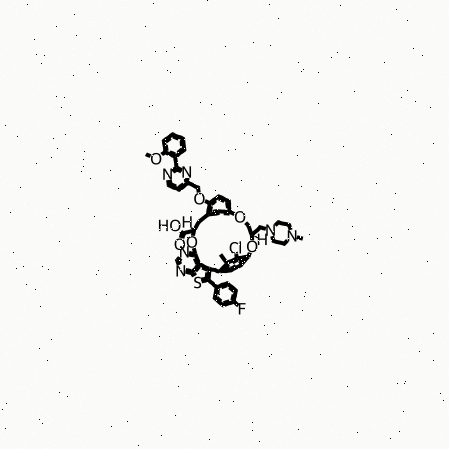 COc1ccccc1-c1nccc(COc2ccc3cc2C[C@H](C(=O)O)Oc2ncnc4sc(-c5ccc(F)cc5)c(c24)-c2ccc(c(Cl)c2C)O[C@H](CN2CCN(C)CC2)CO3)n1